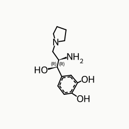 N[C@H](CN1CCCC1)[C@H](O)c1ccc(O)c(O)c1